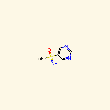 CCCS(=N)(=O)c1cncnc1